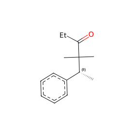 CCC(=O)C(C)(C)[C@H](C)c1ccccc1